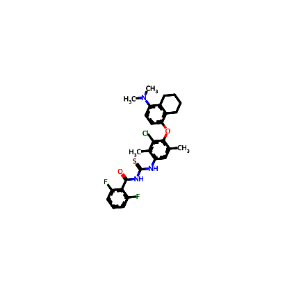 Cc1cc(NC(=S)NC(=O)c2c(F)cccc2F)c(C)c(Cl)c1Oc1ccc(N(C)C)c2c1CCCC2